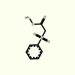 C[CH]COC(=O)CS(=O)(=O)c1ccccc1